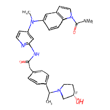 CNC(=O)n1ccc2cc(N(C)c3ccnc(NC(=O)c4ccc(C(C)N5CC[C@H](O)C5)cc4)c3)ccc21